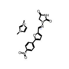 Cn1cc[n+](C)c1.O=C1CN(/N=C/c2ccc(-c3ccc([N+](=O)[O-])cc3)o2)C(=O)N1